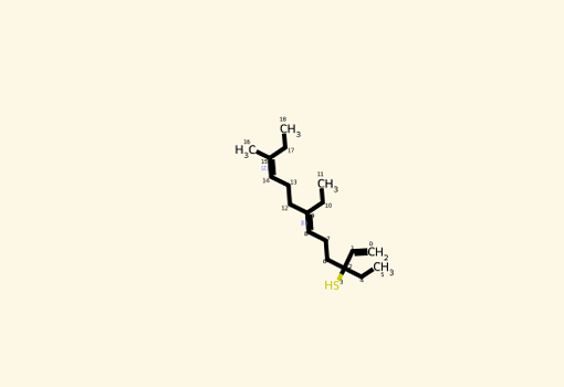 C=CC(S)(CC)CC/C=C(\CC)CC/C=C(/C)CC